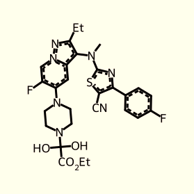 CCOC(=O)C(O)(O)N1CCN(c2cc3c(N(C)c4nc(-c5ccc(F)cc5)c(C#N)s4)c(CC)nn3cc2F)CC1